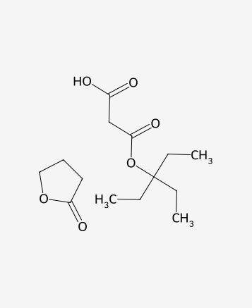 CCC(CC)(CC)OC(=O)CC(=O)O.O=C1CCCO1